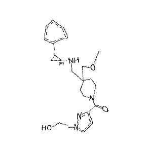 COCC1(CN[C@@H]2CC2c2ccccc2)CCN(C(=O)c2ccn(CCO)n2)CC1